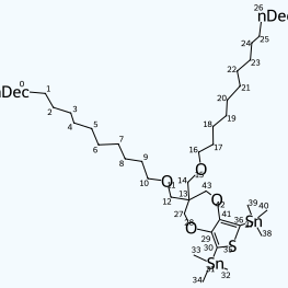 CCCCCCCCCCCCCCCCCCCCOCC1(COCCCCCCCCCCCCCCCCCCCC)COc2[c]([Sn]([CH3])([CH3])[CH3])s[c]([Sn]([CH3])([CH3])[CH3])c2OC1